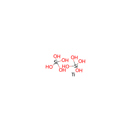 O[Si](O)(O)O.O[Si](O)(O)O.[Ti]